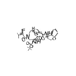 CC(C)[C@@H](F)C(=O)N1CC[C@H]2CC[C@@H](C(=O)N[C@@H]3CCOc4ccccc43)N2C(=O)[C@@H](NC(=O)OC(C)(C)C)C1